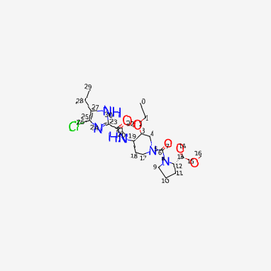 CCOC1CN(C(=O)N2CCC[C@H]2C(=O)OC)CCC1NC(=O)c1nc(Cl)c(CC)[nH]1